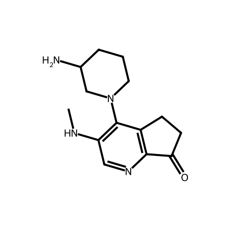 CNc1cnc2c(c1N1CCCC(N)C1)CCC2=O